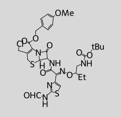 CCC(CNC(=O)OC(C)(C)C)ON=C(C(=O)NC1C(=O)N2C(C(=O)OCc3ccc(OC)cc3)=C(CCl)CS[C@@H]12)c1csc(NC=O)n1